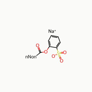 CCCCCCCCCC(=O)Oc1ccccc1S(=O)(=O)[O-].[Na+]